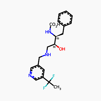 CC(F)(F)c1cncc(CNC[C@H](O)[C@H](Cc2ccccc2)NC(=O)O)c1